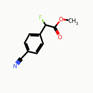 COC(=O)C(F)c1ccc(C#N)cc1